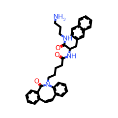 NCCCNC(=O)C(Cc1ccc2ccccc2c1)NC(=O)CCCCN1C(=O)c2ccccc2/C=C\c2ccccc21